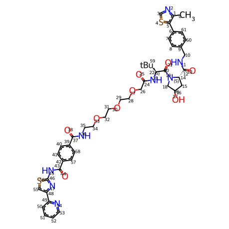 Cc1ncsc1-c1ccc(CNC(=O)[C@@H]2C[C@@H](O)CN2C(=O)[C@@H](NC(=O)COCCOCCOCCNC(=O)c2ccc(C(=O)Nc3nc(-c4ccccn4)cs3)cc2)C(C)(C)C)cc1